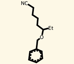 CCC(CCCCC#N)OCc1ccccc1